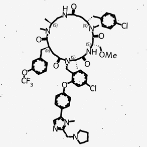 COC[C@@H]1NC(=O)[C@H](C)N(Cc2ccc(Cl)cc2Oc2ccc(-c3cnc(CN4CCCC4)n3C)cc2)C(=O)C[C@@H](Cc2cccc(OC(F)(F)F)c2)C(=O)N(C)[C@@H](C)CNC(=O)C[C@H](Cc2ccc(Cl)cc2)N(C)C1=O